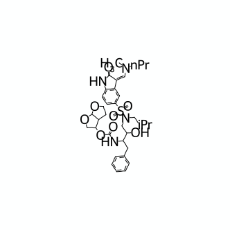 CCCN(C)C=C1C(=O)Nc2ccc(S(=O)(=O)N(CC(C)C)CC(O)C(Cc3ccccc3)NC(=O)OC3COC4OCCC34)cc21